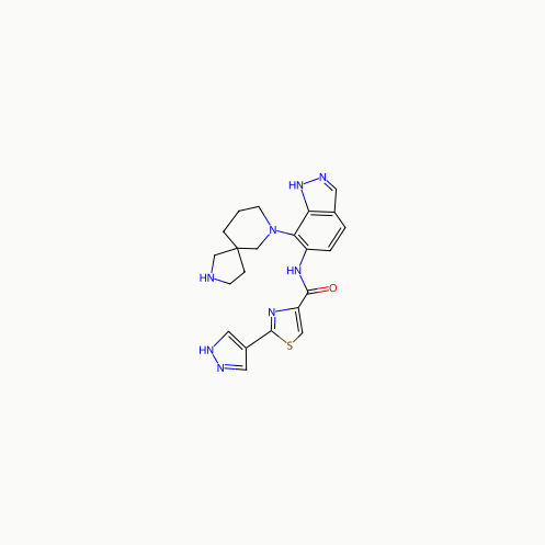 O=C(Nc1ccc2cn[nH]c2c1N1CCCC2(CCNC2)C1)c1csc(-c2cn[nH]c2)n1